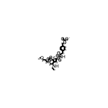 CCN[C@H]1CN(CCCOC)S(=O)(=O)c2sc(S(=O)(=O)NC(=O)Cc3ccc(CO[N+](=O)[O-])cc3)cc21